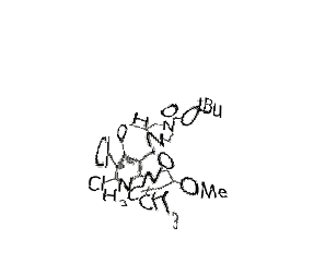 COC1CN(c2nc(Cl)c(Cl)c3c2C(=O)N2CCN(C(=O)OC(C)(C)C)C[C@@H]2CO3)C(C)(C)C1